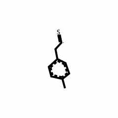 Cc1ccc(C[C]=S)cc1